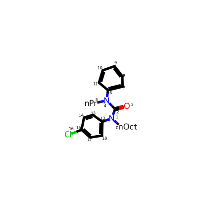 CCCCCCCCN(C(=O)N(CCC)c1ccccc1)c1ccc(Cl)cc1